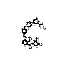 NC(=O)c1cc(N2CCN(Cc3ccc(CNc4cccc5c4C(=O)N(C4CCC(=O)NC4=O)C5=O)cc3)CC2)ccn1